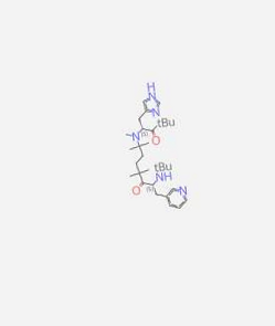 CN([C@@H](Cc1c[nH]cn1)C(=O)C(C)(C)C)C(C)(C)CCC(C)(C)C(=O)[C@H](Cc1cccnc1)NC(C)(C)C